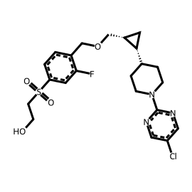 O=S(=O)(CCO)c1ccc(COC[C@@H]2C[C@@H]2C2CCN(c3ncc(Cl)cn3)CC2)c(F)c1